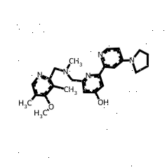 COc1c(C)cnc(CN(C)Cc2cc(O)cc(-c3cc(N4CCCC4)ccn3)n2)c1C